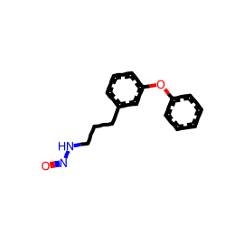 O=NNCCCc1cccc(Oc2ccccc2)c1